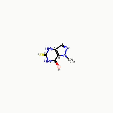 Cn1ncc2[nH]c(=S)[nH]c(=O)c21